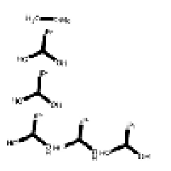 CC(C)C(O)O.CC(C)C(O)O.CC(C)C(O)O.CC(C)C(O)O.CC(C)C(O)O.COC